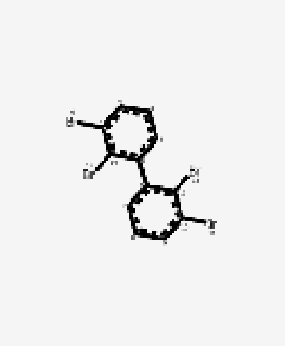 Brc1cccc(-c2cccc(Br)c2Br)c1Br